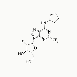 OC[C@H]1O[C@@H](n2cnc3c(NC4CCCC4)nc(C(F)(F)F)nc32)[C@@H](F)[C@@H]1O